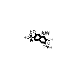 O=S(=O)(O)c1cc2cc(S(=O)(=O)O)c(O)cc2cc1O.[NaH].[NaH]